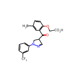 Bc1ccc(OCC(=O)O)c(C(=O)C2C=NN(c3cccc(C(F)(F)F)c3)C2)c1